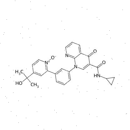 CC(C)(O)c1cc[n+]([O-])c(-c2cccc(-n3cc(C(=O)NC4CC4)c(=O)c4cccnc43)c2)c1